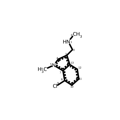 CNCc1cn(C)c2c(Cl)cccc12